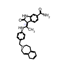 C/C(Nc1ccc(CN2CC=C3CC=CC=C3CC2)cc1)=C1/C(=O)Nc2cc(C(N)=O)ccc21